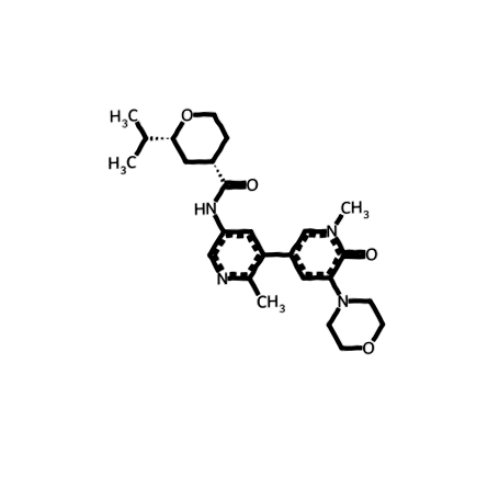 Cc1ncc(NC(=O)[C@H]2CCO[C@@H](C(C)C)C2)cc1-c1cc(N2CCOCC2)c(=O)n(C)c1